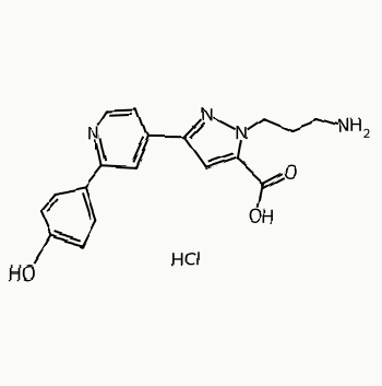 Cl.NCCCn1nc(-c2ccnc(-c3ccc(O)cc3)c2)cc1C(=O)O